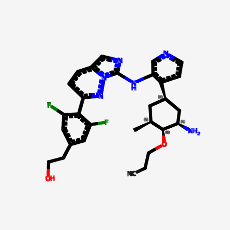 C[C@H]1C[C@@H](c2ccncc2Nc2ncc3ccc(-c4c(F)cc(CCO)cc4F)nn23)C[C@@H](N)[C@H]1OCCC#N